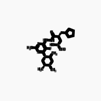 Cc1nc(NNC(=O)[C@H](CC2CCCC2)CN(O)C=O)c(F)c(N2C[C@@H](C)N(C)CC2C)n1